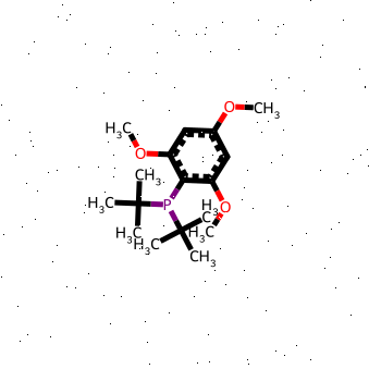 COc1cc(OC)c(P(C(C)(C)C)C(C)(C)C)c(OC)c1